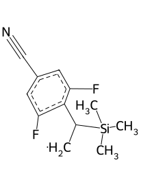 [CH2]C(c1c(F)cc(C#N)cc1F)[Si](C)(C)C